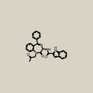 CC(=O)CN1C(=O)C(NC(=O)c2cc3ccccc3[nH]2)N=C(c2ccccc2)c2ccccc21